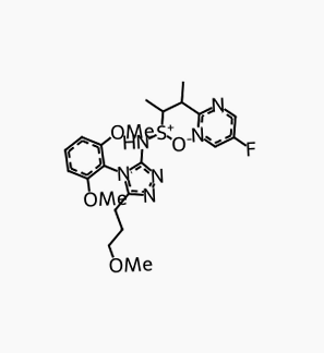 COCCCc1nnc(N[S+]([O-])C(C)C(C)c2ncc(F)cn2)n1-c1c(OC)cccc1OC